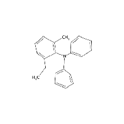 CCc1cccc(C)c1N(c1ccccc1)c1ccccc1